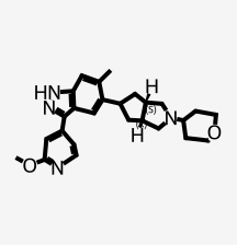 COc1cc(-c2n[nH]c3cc(C)c(C4C[C@@H]5CN(C6CCOCC6)C[C@@H]5C4)cc23)ccn1